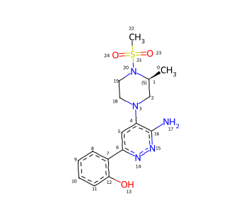 C[C@H]1CN(c2cc(-c3ccccc3O)nnc2N)CCN1S(C)(=O)=O